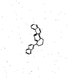 [c]1c(C2CCCc3c2ccc2c3ccc3ccccc32)ccc2ccccc12